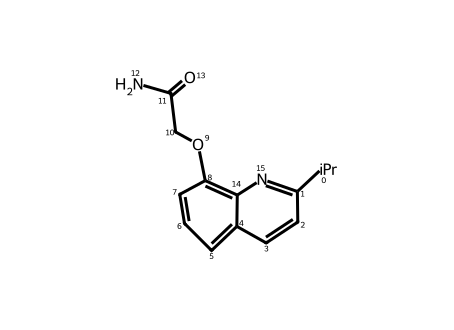 CC(C)c1ccc2cccc(OCC(N)=O)c2n1